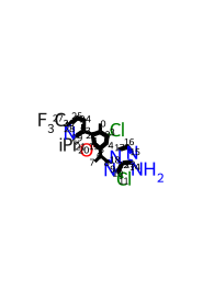 Cc1c(Cl)cc(C(C)c2nc(Cl)c3c(N)nccn23)c(OC(C)C)c1-c1ccc(C(F)(F)F)nc1